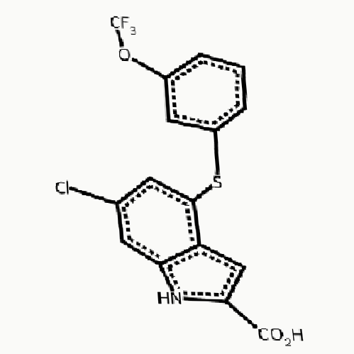 O=C(O)c1cc2c(Sc3cccc(OC(F)(F)F)c3)cc(Cl)cc2[nH]1